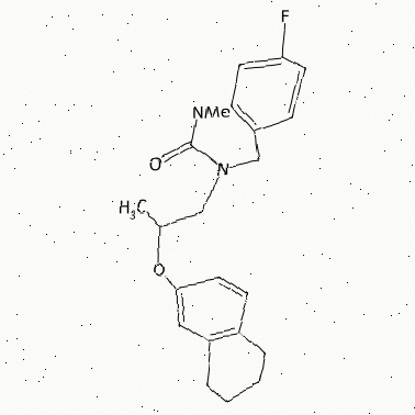 CNC(=O)N(Cc1ccc(F)cc1)CC(C)Oc1ccc2c(c1)CCCC2